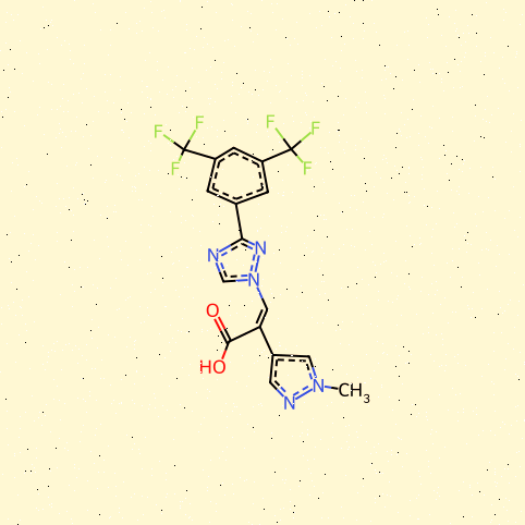 Cn1cc(/C(=C/n2cnc(-c3cc(C(F)(F)F)cc(C(F)(F)F)c3)n2)C(=O)O)cn1